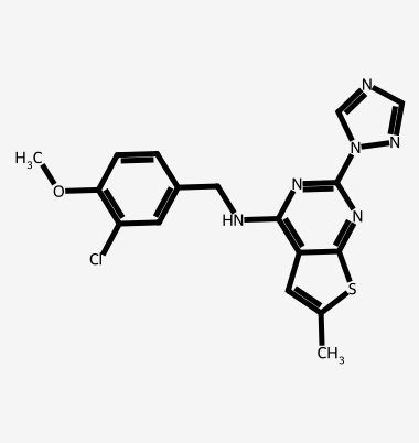 COc1ccc(CNc2nc(-n3cncn3)nc3sc(C)cc23)cc1Cl